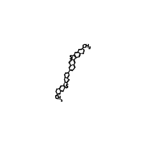 Cc1ccc2cc3c(cc2c1)sc1cc2cc(-c4ccc5cc6c(cc5c4)sc4cc5cc(C)ccc5cc46)ccc2cc13